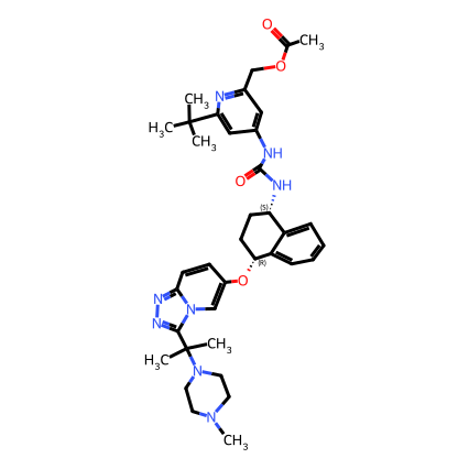 CC(=O)OCc1cc(NC(=O)N[C@H]2CC[C@@H](Oc3ccc4nnc(C(C)(C)N5CCN(C)CC5)n4c3)c3ccccc32)cc(C(C)(C)C)n1